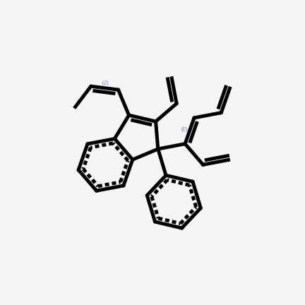 C=C/C=C(\C=C)C1(c2ccccc2)C(C=C)=C(/C=C\C)c2ccccc21